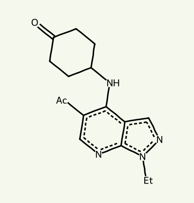 CCn1ncc2c(NC3CCC(=O)CC3)c(C(C)=O)cnc21